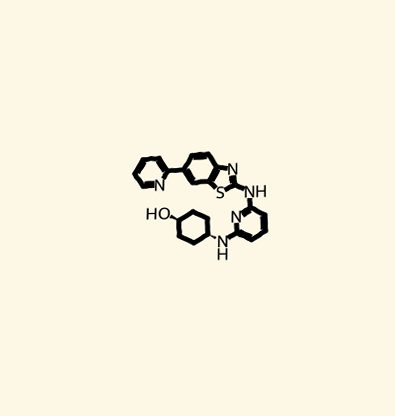 O[C@H]1CC[C@H](Nc2cccc(Nc3nc4ccc(-c5ccccn5)cc4s3)n2)CC1